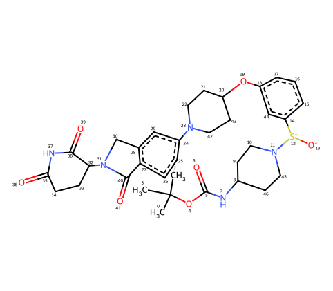 CC(C)(C)OC(=O)NC1CCN([S+]([O-])c2cccc(OC3CCN(c4ccc5c(c4)CN(C4CCC(=O)NC4=O)C5=O)CC3)c2)CC1